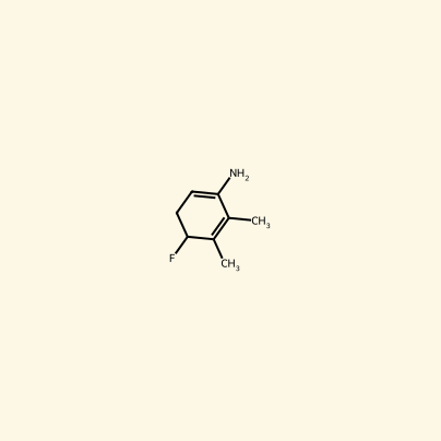 CC1=C(C)C(F)CC=C1N